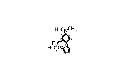 CN(C)c1ccc(-n2cccc2C(=O)O)c(C(F)(F)F)c1